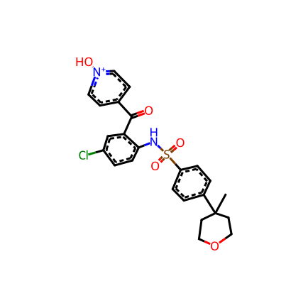 CC1(c2ccc(S(=O)(=O)Nc3ccc(Cl)cc3C(=O)c3cc[n+](O)cc3)cc2)CCOCC1